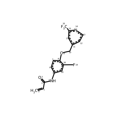 C=CC(=O)Nc1ccc(OCc2ccnc(C(F)(F)F)c2)c(F)c1